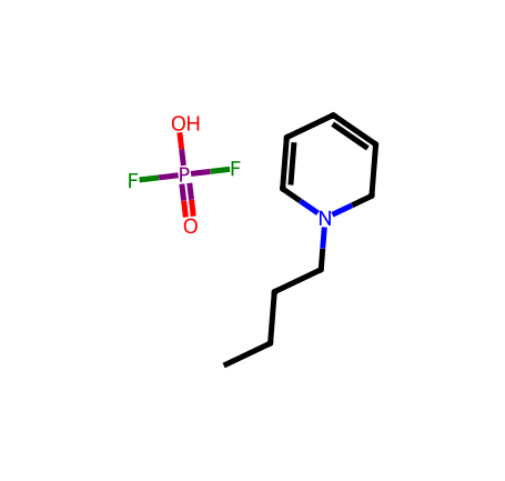 CCCCN1C=CC=CC1.O=P(O)(F)F